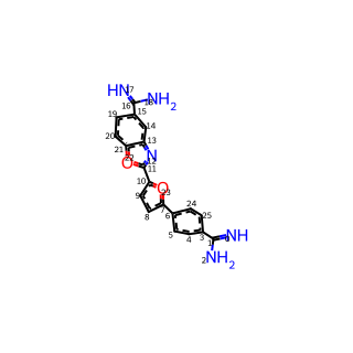 N=C(N)c1ccc(-c2ccc(-c3nc4cc(C(=N)N)ccc4o3)o2)cc1